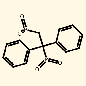 O=P(=O)CC(c1ccccc1)(c1ccccc1)P(=O)=O